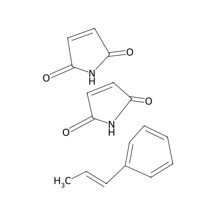 CC=Cc1ccccc1.O=C1C=CC(=O)N1.O=C1C=CC(=O)N1